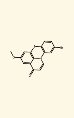 COc1cc2c3c(c1)c(=O)ccn3-c1cc(Br)ccc1S2